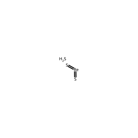 S.[S]=[Re]=[S]